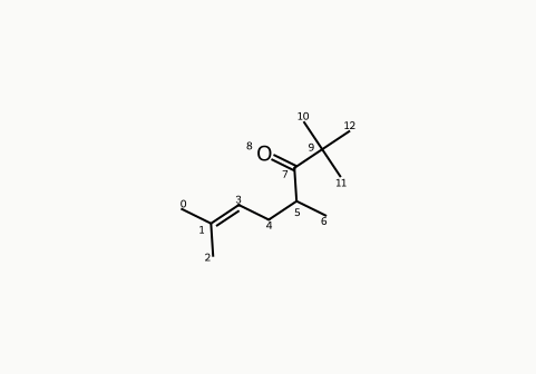 CC(C)=CCC(C)C(=O)C(C)(C)C